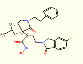 CC(C)C[C@]1([C@H](CCN2Cc3cc(F)ccc3C2=O)C(=O)NO)CCN(CCc2ccccc2)C1=O